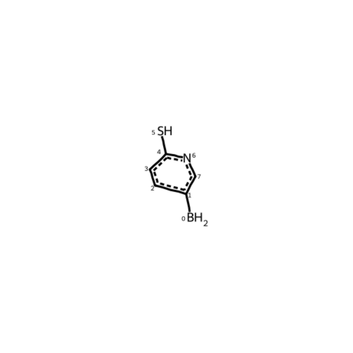 Bc1ccc(S)nc1